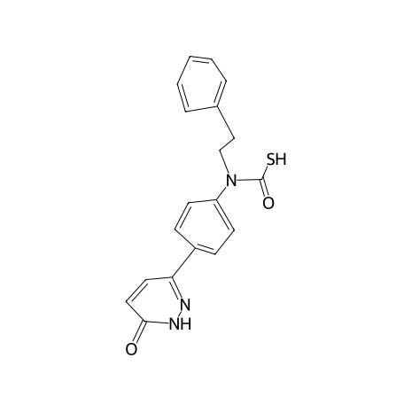 O=C(S)N(CCc1ccccc1)c1ccc(-c2ccc(=O)[nH]n2)cc1